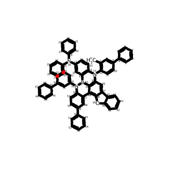 Cc1cc(-c2ccccc2)ccc1N1c2ccc(N(c3ccccc3)c3ccccc3)cc2B2c3c1cc1c(oc4ccccc41)c3-c1cc(-c3ccccc3)ccc1N2c1cccc(-c2ccccc2)c1